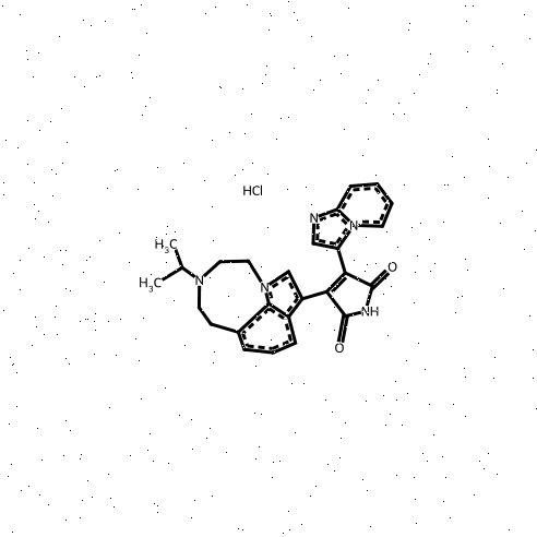 CC(C)N1CCc2cccc3c(C4=C(c5cnc6ccccn56)C(=O)NC4=O)cn(c23)CC1.Cl